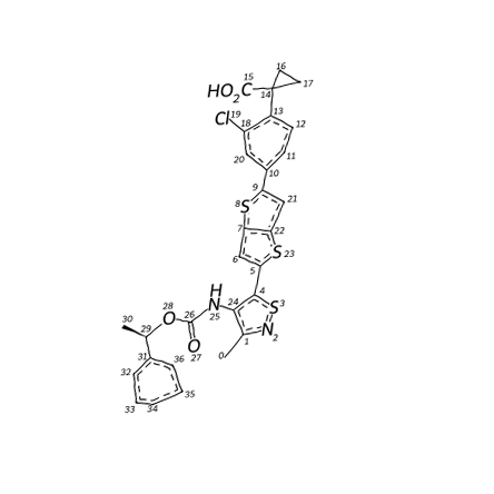 Cc1nsc(-c2cc3sc(-c4ccc(C5(C(=O)O)CC5)c(Cl)c4)cc3s2)c1NC(=O)O[C@H](C)c1ccccc1